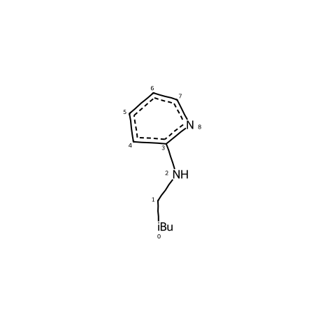 CCC(C)CNc1ccccn1